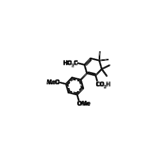 COc1cc(OC)cc(C2=C(C(=O)O)C(C)(C)C(C)(C)C=C2C(=O)O)c1